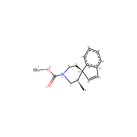 C[C@H]1CN(C(=O)OC(C)(C)C)CC[C@@]12C=Cc1ccccc12